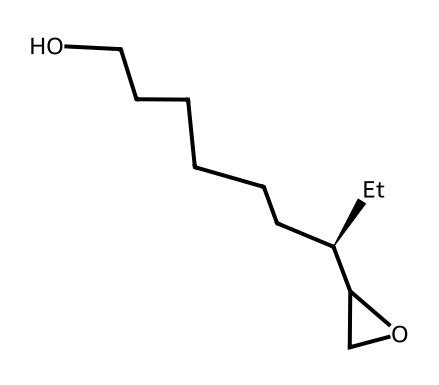 CC[C@H](CCCCCCO)C1CO1